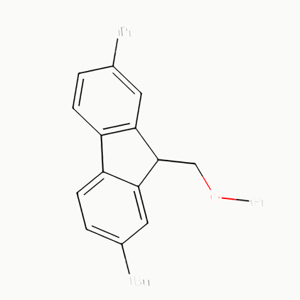 CC(C)OCC1c2cc(C(C)C)ccc2-c2ccc(C(C)(C)C)cc21